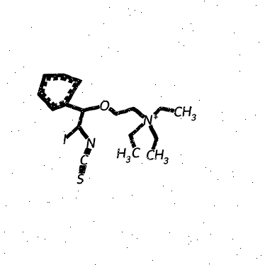 CC[N+](CC)(CC)CCOC(c1ccccc1)C(I)N=C=S